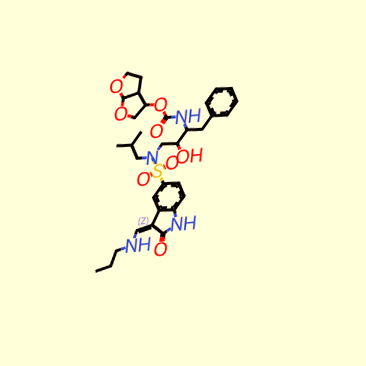 CCCN/C=C1\C(=O)Nc2ccc(S(=O)(=O)N(CC(C)C)CC(O)C(Cc3ccccc3)NC(=O)OC3COC4OCCC34)cc21